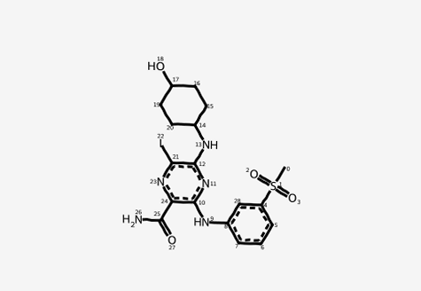 CS(=O)(=O)c1cccc(Nc2nc(NC3CCC(O)CC3)c(I)nc2C(N)=O)c1